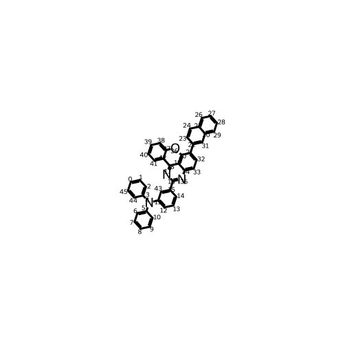 c1ccc(N(c2ccccc2)c2cccc(-c3nc4c5c(c(-c6ccc7ccccc7c6)ccc5n3)Oc3ccccc3-4)c2)cc1